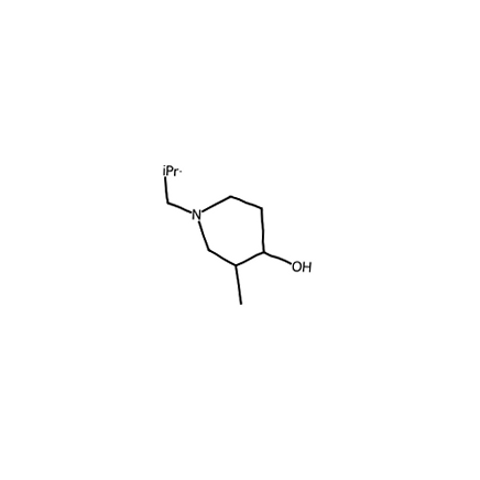 C[C](C)CN1CCC(O)C(C)C1